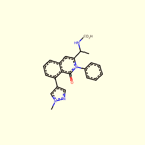 CC(NC(=O)O)c1cc2cccc(-c3cnn(C)c3)c2c(=O)n1-c1ccccc1